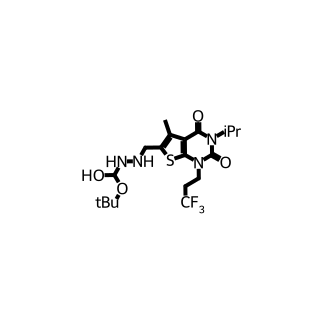 Cc1c(CNNC(O)OC(C)(C)C)sc2c1c(=O)n(C(C)C)c(=O)n2CCC(F)(F)F